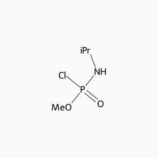 COP(=O)(Cl)NC(C)C